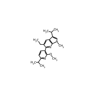 CCc1cc2c(C(C)C)cn(C)c2nc1-c1ccc(C(C)C)nc1OC